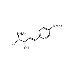 CCCCCc1ccc(/C=C/[C@H](O)[C@@H](CC)NC(C)=O)cc1